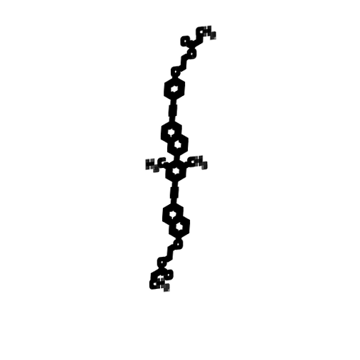 C=CC(=O)OCCOc1ccc(C#Cc2ccc3cc(-c4c(C)cc(C#Cc5ccc6cc(OCCOC(=O)C=C)ccc6c5)cc4C)ccc3c2)cc1